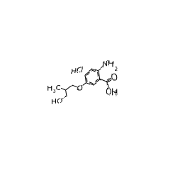 CC(CO)COc1ccc(N)c(C(=O)O)c1.Cl